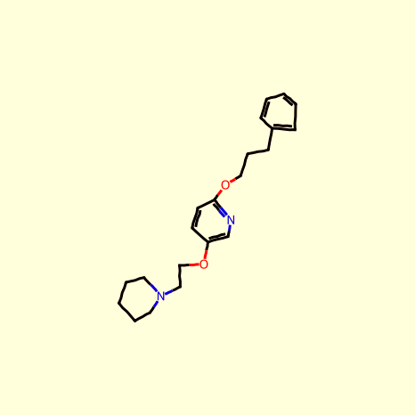 c1ccc(CCCOc2ccc(OCCN3CCCCC3)cn2)cc1